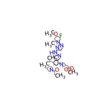 C=CC(=O)N1CCC[C@@H]1c1cc(N2CC(CS(C)(=O)=O)C2)c2cnc(Nc3ccnc(N4C[C@@H](F)[C@@H](OC)C[C@@H]4C)n3)cc2c1C(C)C